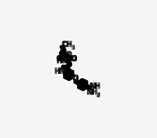 CCCCS(=O)(=O)NC(Cc1c[nH]c2ccc(OCc3ccc(C(=N)N)cc3)cc12)C(=O)O